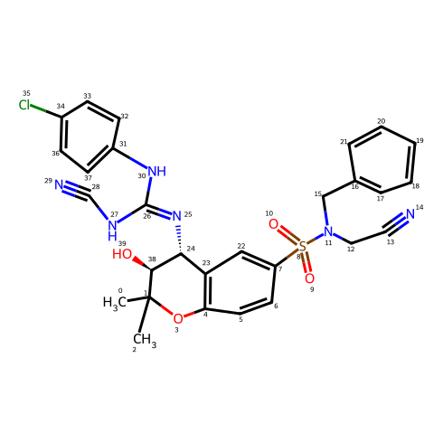 CC1(C)Oc2ccc(S(=O)(=O)N(CC#N)Cc3ccccc3)cc2[C@@H](N=C(NC#N)Nc2ccc(Cl)cc2)[C@@H]1O